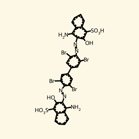 Nc1c(/N=N/c2c(Br)cc(-c3cc(Br)c(/N=N/c4c(O)c(S(=O)(=O)O)c5ccccc5c4N)c(Br)c3)cc2Br)c(O)c(S(=O)(=O)O)c2ccccc12